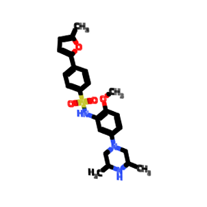 COc1ccc(N2CC(C)NC(C)C2)cc1NS(=O)(=O)c1ccc(-c2ccc(C)o2)cc1